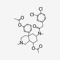 CC(=O)Oc1cccc(C23CCN(C)CC2C(OC(C)=O)CC(N(C)C(=O)Cc2ccc(Cl)c(Cl)c2)C3)c1